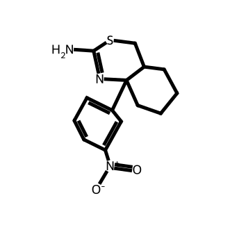 NC1=NC2(c3cccc([N+](=O)[O-])c3)CCCCC2CS1